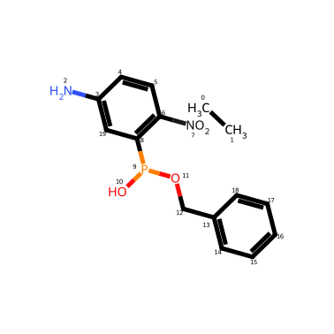 CC.Nc1ccc([N+](=O)[O-])c(P(O)OCc2ccccc2)c1